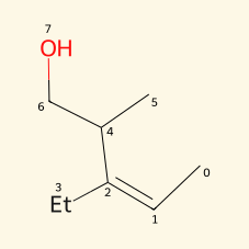 CC=C(CC)C(C)CO